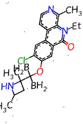 BC(B)(Oc1cc2c(=O)n(CC)c3c(C)nccc3c2cc1Cl)C1(C)CC(C)N1